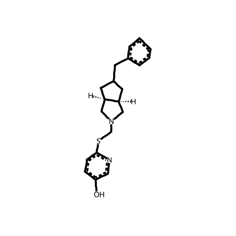 Oc1ccc(SCN2C[C@H]3CC(Cc4ccccc4)C[C@H]3C2)nc1